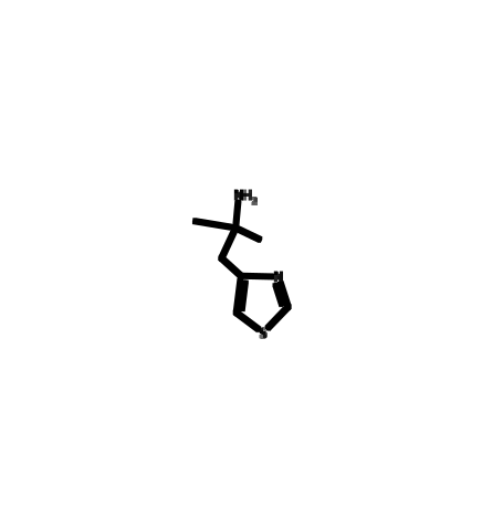 CC(C)(N)Cc1cscn1